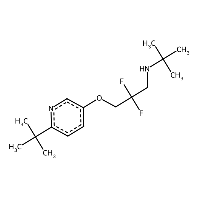 CC(C)(C)NCC(F)(F)COc1ccc(C(C)(C)C)nc1